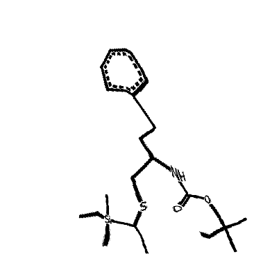 CC(SCC(CCc1ccccc1)NC(=O)OC(C)(C)C)[Si](C)(C)C